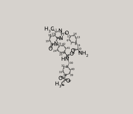 Cc1nc(Oc2ccc(CC(N)=O)cc2)nc2c1ccc(=O)n2-c1ccc(C(=O)NCc2ccc(S(C)(=O)=O)cc2)cc1